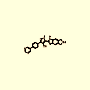 Cn1nc(-c2ccc(-c3cncnc3)cc2)c(O)c1-c1nc2cc3c(cc2[nH]1)CNC3